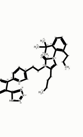 CCCCc1cn(-c2c(CCC)cccc2C(C)(C)C)c(=O)n1CCc1ccc(-c2ccccc2-c2nnn[nH]2)nc1